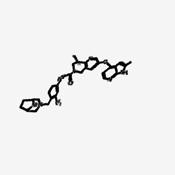 Cc1cc2c(Oc3cnc4c(c3)CN(C(=O)Nc3ccc(CN5CC6CCC(C5)N6)c(C(F)(F)F)c3)C[C@H]4C)ccnc2[nH]1